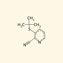 CC(C)(C)Sc1cccnc1C#N